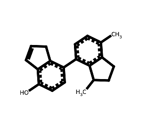 Cc1ccc(-c2ccc(O)c3c2CC=C3)c2c1CCC2C